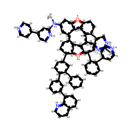 CC(C)c1ncc(-c2ccc3oc4cc(N(c5cc(-c6ccncc6)ccn5)C(C)C)cc5c6ccc(-c7ccc(-c8cccc(-c9cccc%10cccnc9%10)c8)c(-c8ccccc8)c7)c7oc8c(-c9ccccc9-c9ccncc9)ccc(c2c3c45)c8c76)cn1